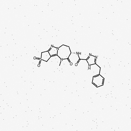 CN1C(=O)[C@@H](NC(=O)c2nnc(Cc3ccccc3)[nH]2)CCn2nc3c(c21)CS(=O)(=O)C3